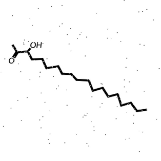 CCCCCCCCCCCCCCCCC(O)C(C)=O